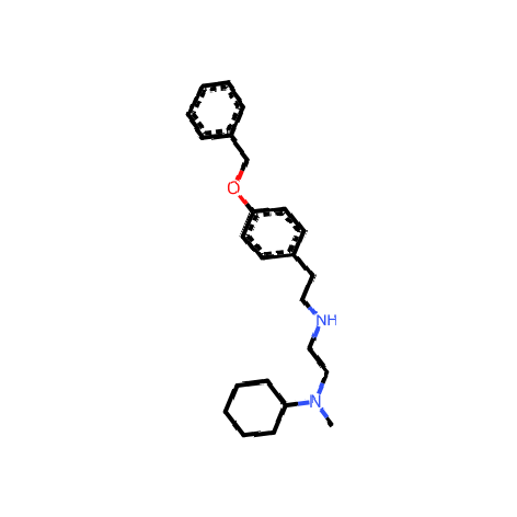 CN(CCNCCc1ccc(OCc2ccccc2)cc1)C1CCCCC1